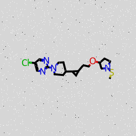 CSN1CCC(OCCC2CC2C2CCN(c3ncc(Cl)cn3)CC2)C1